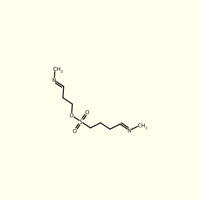 C/N=C/CCCS(=O)(=O)OCC/C=N/C